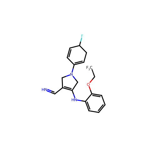 N=CC1=C(Nc2ccccc2OCC(F)(F)F)CN(C2=CCC(F)C=C2)C1